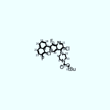 CC(C)(C)OC(=O)N1CCN(c2c(Cl)cnc3c(F)c(-c4cccc5ccc(F)c(Cl)c45)ncc23)CC1